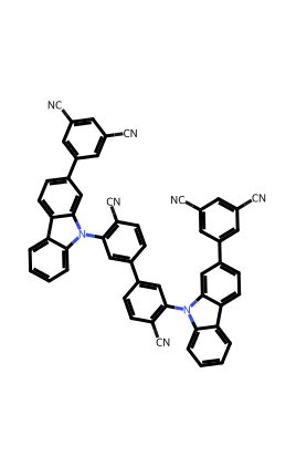 N#Cc1cc(C#N)cc(-c2ccc3c4ccccc4n(-c4cc(-c5ccc(C#N)c(-n6c7ccccc7c7ccc(-c8cc(C#N)cc(C#N)c8)cc76)c5)ccc4C#N)c3c2)c1